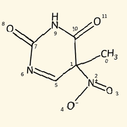 CC1([N+](=O)[O-])C=NC(=O)NC1=O